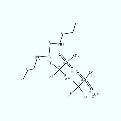 CCCNCCNCCC.O=S(=O)([O-])C(F)(F)F.O=S(=O)([O-])C(F)(F)F.[Cu+2]